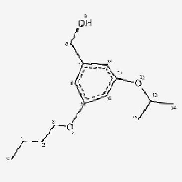 CCCCOc1cc([CH]O)cc(OC(C)C)c1